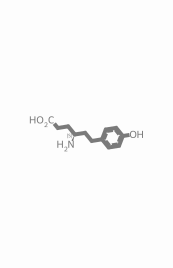 N[C@H](CCC(=O)O)CCc1ccc(O)cc1